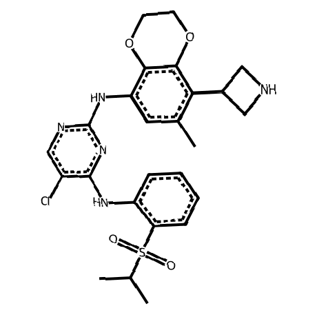 Cc1cc(Nc2ncc(Cl)c(Nc3ccccc3S(=O)(=O)C(C)C)n2)c2c(c1C1CNC1)OCCO2